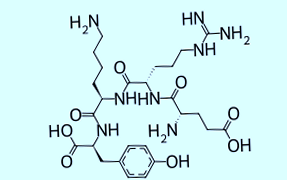 N=C(N)NCCC[C@H](NC(=O)[C@@H](N)CCC(=O)O)C(=O)N[C@H](CCCCN)C(=O)N[C@@H](Cc1ccc(O)cc1)C(=O)O